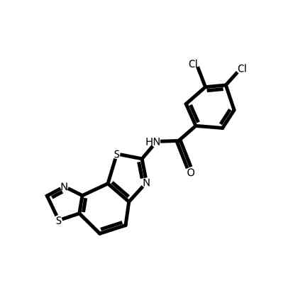 O=C(Nc1nc2ccc3scnc3c2s1)c1ccc(Cl)c(Cl)c1